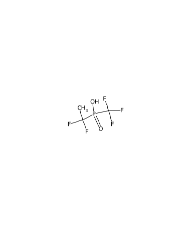 CC(F)(F)P(=O)(O)C(F)(F)F